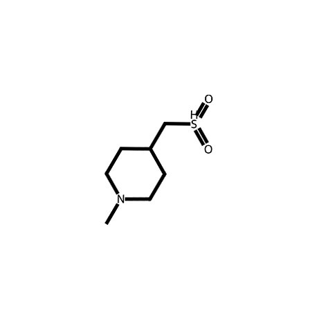 CN1CCC(C[SH](=O)=O)CC1